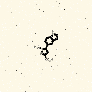 Cn1nc(C(=O)O)cc1-c1ccc2[nH]ccc2c1